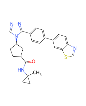 CC1(NC(=O)C2CC[C@@H](n3cnnc3-c3ccc(-c4ccc5ncsc5c4)cc3)C2)CC1